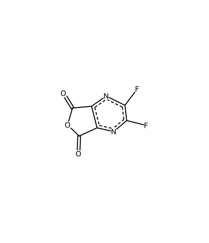 O=C1OC(=O)c2nc(F)c(F)nc21